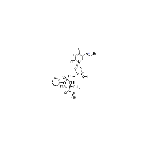 COC(=O)C(C)(C)NP(=O)(OC[C@H]1O[C@@H](n2cc(/C=C/Br)c(=O)[nH]c2=O)C[C@H]1O)Oc1ccccc1